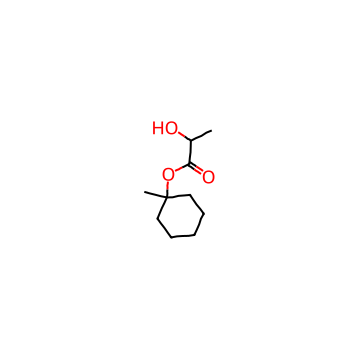 CC(O)C(=O)OC1(C)CCCCC1